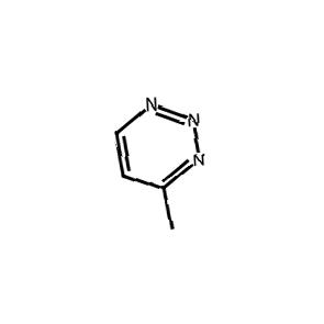 Cc1ccnnn1